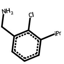 CC(C)c1cccc(CN)c1Cl